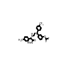 CNC(=O)[C@@H](NCC[C@@H](c1ccc(C(F)(F)F)cc1)c1cccc(OC(F)F)c1)c1ccc(C)cc1